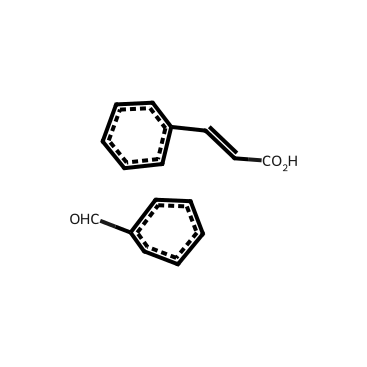 O=C(O)C=Cc1ccccc1.O=Cc1ccccc1